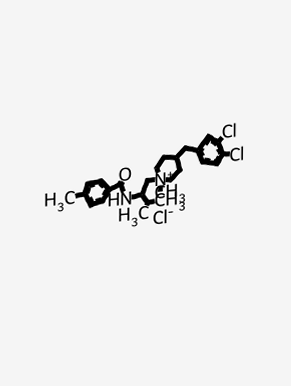 Cc1ccc(C(=O)NC(C[N+]2(C)CCC(Cc3ccc(Cl)c(Cl)c3)CC2)C(C)C)cc1.[Cl-]